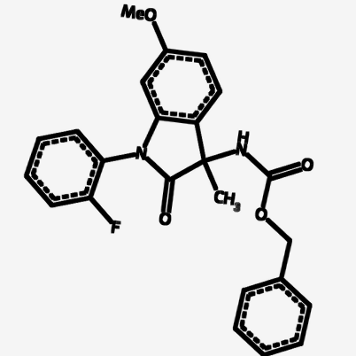 COc1ccc2c(c1)N(c1ccccc1F)C(=O)C2(C)NC(=O)OCc1ccccc1